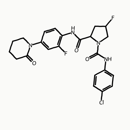 O=C(Nc1ccc(N2CCCCC2=O)cc1F)C1CC(F)CN1C(=O)Nc1ccc(Cl)cc1